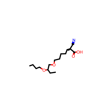 CCCCOC(CC)COCCCCC=C(C#N)C(=O)O